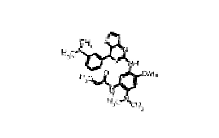 C=CC(=O)Nc1cc(NC2=NC(c3cccc(N(C)C)c3)C3SC=CC3=N2)c(OC)cc1N(C)C